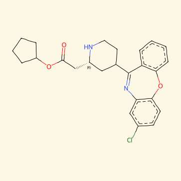 O=C(C[C@H]1CC(C2=Nc3cc(Cl)ccc3Oc3ccccc32)CCN1)OC1CCCC1